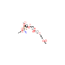 C=CC(=O)OCCCCCCOC1CCC(C(=O)OC2CCC(C(=O)Oc3ccc(OC(C)=O)c4c3S/C(=C(\C#N)C(=O)OCCCC)S4)CC2)CC1